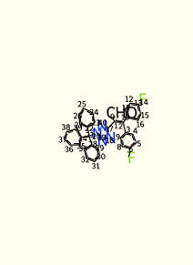 O=CC(=C(c1ccc(F)cc1)c1ccc(F)cc1)c1nnn(C(c2ccccc2)(c2ccccc2)c2ccccc2)n1